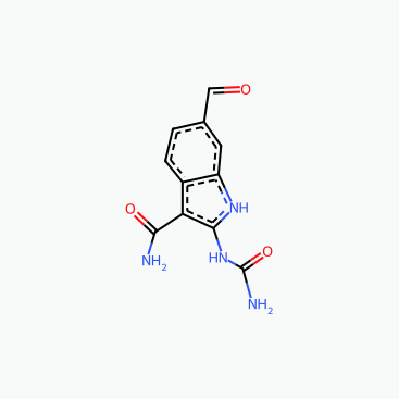 NC(=O)Nc1[nH]c2cc(C=O)ccc2c1C(N)=O